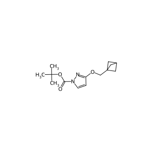 CC(C)(C)OC(=O)n1ccc(OCC23CC(C2)C3)n1